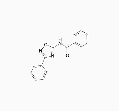 O=C(Nc1nc(-c2ccccc2)no1)c1ccccc1